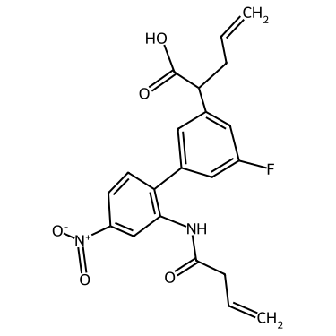 C=CCC(=O)Nc1cc([N+](=O)[O-])ccc1-c1cc(F)cc(C(CC=C)C(=O)O)c1